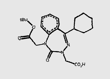 CC(C)(C)OC(=O)CN1C(=O)N(CC(=O)O)N=C(C2CCCCC2)c2ccccc21